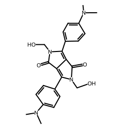 CN(C)c1ccc(C2=C3C(=O)N(CO)C(c4ccc(N(C)C)cc4)=C3C(=O)N2CO)cc1